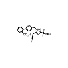 CC#CCc1nc(C(F)(F)CCCC)nn1Cc1ccc(-c2ccccc2C(=O)O)cc1